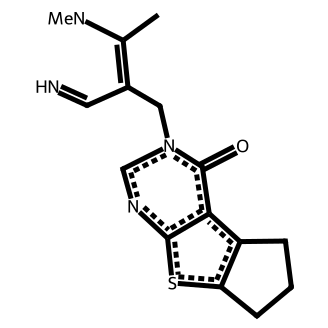 CN/C(C)=C(\C=N)Cn1cnc2sc3c(c2c1=O)CCC3